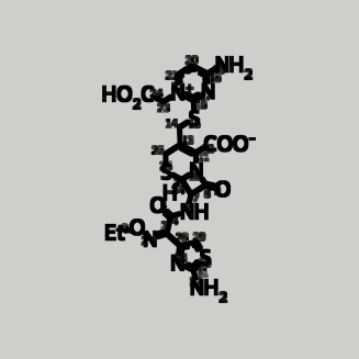 CCO/N=C(\C(=O)NC1C(=O)N2C(C(=O)[O-])=C(CSc3nc(N)cc[n+]3CC(=O)O)CS[C@H]12)c1csc(N)n1